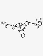 NC(=O)CCCC(=O)N1CC2CC(c3ccc(CCCOc4c(F)ccc(F)c4F)cc3)=C(C(=O)N(Cc3ccccc3)C3CC3)[C@@H](C1)N2